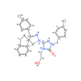 O=c1n(Cc2ccc(Cl)cc2)nc(N2CC3(CCc4ccccc43)C(c3ccc(Cl)cc3)=N2)n1CCO